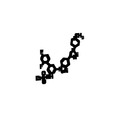 CCS(=O)(=O)Nc1cc(-c2ccc(F)cc2F)cc(-n2cnc3cc(-c4cn(C5CCN(C)CC5)nn4)ccc32)c1